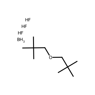 B.CC(C)(C)COCC(C)(C)C.F.F.F